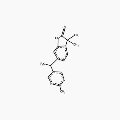 Cc1ncc(C(c2ccc3c(c2)NC(=O)C3(C)C)C(F)(F)F)cn1